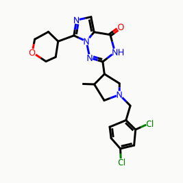 CC1CN(Cc2ccc(Cl)cc2Cl)CC1c1nn2c(C3CCOCC3)ncc2c(=O)[nH]1